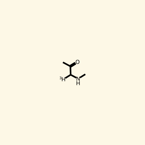 [3H]C(NC)C(C)=O